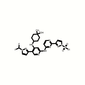 CCS(=O)(=O)n1ccc(-c2nccc(Nc3cc(NC4CCC(C)(O)CC4)c(-c4ccn(C(F)F)n4)cn3)n2)n1